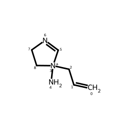 C=CC[N+]1(N)C=NCC1